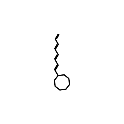 C=CC=CC=CC=CC1CCCCCCC1